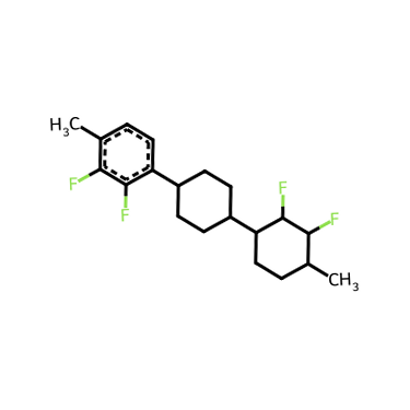 Cc1ccc(C2CCC(C3CCC(C)C(F)C3F)CC2)c(F)c1F